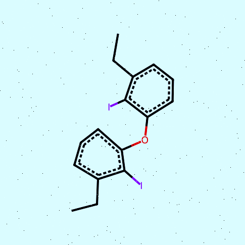 CCc1cccc(Oc2cccc(CC)c2I)c1I